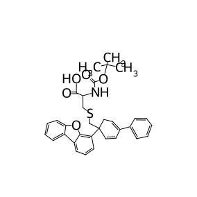 CC(C)(C)OC(=O)NC(CSCC1(c2cccc3c2oc2ccccc23)C=CC(c2ccccc2)=CC1)C(=O)O